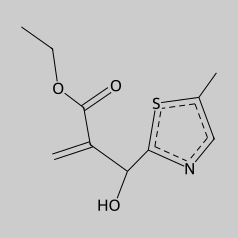 C=C(C(=O)OCC)C(O)c1ncc(C)s1